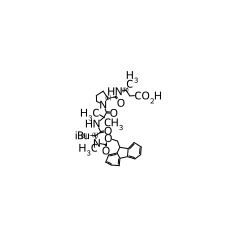 CC[C@H](C)[C@@H](C(=O)NC(C)(C)C(=O)N1CCC[C@H]1C(=O)N[C@H](C)CC(=O)O)N(C)C(=O)OCC1c2ccccc2-c2ccccc21